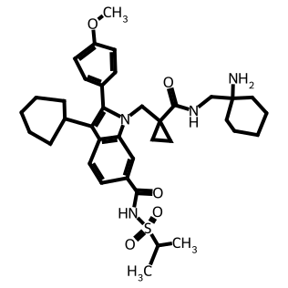 COc1ccc(-c2c(C3CCCCC3)c3ccc(C(=O)NS(=O)(=O)C(C)C)cc3n2CC2(C(=O)NCC3(N)CCCCC3)CC2)cc1